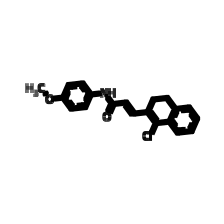 COc1ccc(NC(=O)C=CC2=C(Cl)c3ccccc3CC2)cc1